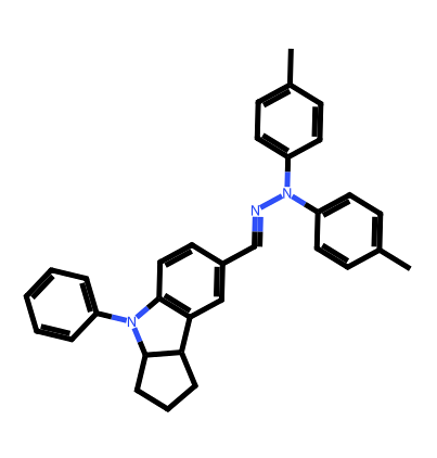 Cc1ccc(N(/N=C/c2ccc3c(c2)C2CCCC2N3c2ccccc2)c2ccc(C)cc2)cc1